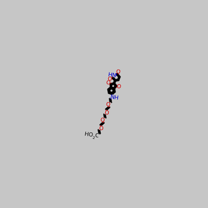 O=C(O)CCOCCOCCOCCOCCNc1ccc2c(c1)C(=O)C(C1CCC(=O)NC1=O)C2=O